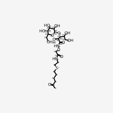 CC(=O)CCCCSCCNC(=O)CONC(=O)C(O)[C@H](O[C@H]1OC(CO)[C@H](O)C(O)C1O)C(O)CO